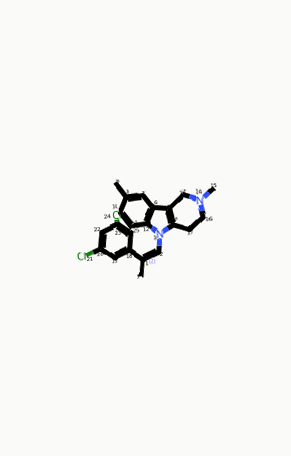 C/C(=C/n1c2c(c3cc(C)ccc31)CN(C)CC2)c1cc(Cl)cc(Cl)c1